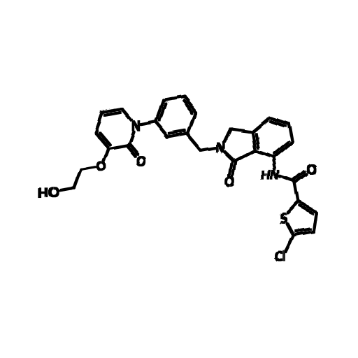 O=C(Nc1cccc2c1C(=O)N(Cc1cccc(-n3cccc(OCCO)c3=O)c1)C2)c1ccc(Cl)s1